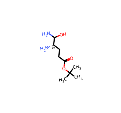 CC(C)(C)OC(=O)CC[C@H](N)C(N)O